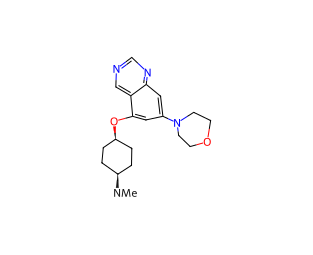 CN[C@H]1CC[C@@H](Oc2cc(N3CCOCC3)cc3ncncc23)CC1